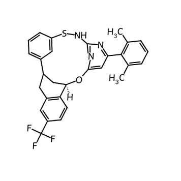 Cc1cccc(C)c1-c1cc2nc(n1)NSc1cccc(c1)C1Cc3cc(C(F)(F)F)ccc3[C@@H](C1)O2